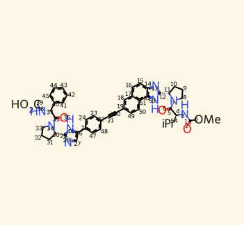 COC(=O)N[C@H](C(=O)N1CCC[C@H]1c1nc2ccc3cc(C#Cc4ccc(-c5cnc([C@@H]6CCCN6C(=O)[C@H](NC(=O)O)c6ccccc6)[nH]5)cc4)ccc3c2[nH]1)C(C)C